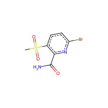 CS(=O)(=O)c1ccc(Br)nc1C(N)=O